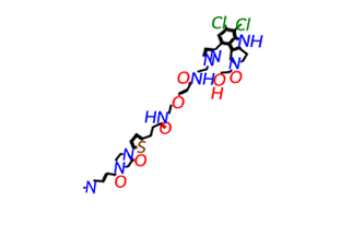 CN(C)CC=CC(=O)N1CCN(c2ccc(CCC(=O)NCCO/C=C/C(=O)NCCn3ccc(-c4cc(Cl)c(Cl)c5[nH]c6c(c45)CN(C(=O)CO)CC6)n3)s2)C(=O)C1